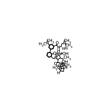 CCC[C@@H](CN(C)C)NC(=O)c1cc(-c2cccc(CN3O[C@@H](CO)C([C@H](C)O)C3C(=O)N[C@H]3C[C@H]4C[C@@H]([C@@H]3C)C4(C)C)c2OC)cc(N(C)C)c1